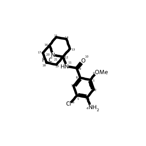 COc1cc(N)c(Cl)cc1C(=O)NC12CCCC(CCC1)N2C